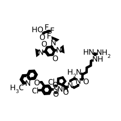 Cc1ccc2cccc(OCc3c(Cl)ccc(S(=O)(=O)NC4(C(=O)N5CCN(C(=O)C(N)CCCCNC(=N)N)CC5)CCCC4)c3Cl)c2n1.O=C(O)C(F)(F)F.O=C1C=C(N2CC2)C(=O)C(N2CC2)=C1N1CC1